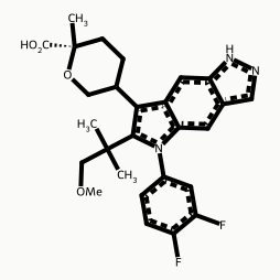 COCC(C)(C)c1c(C2CC[C@@](C)(C(=O)O)OC2)c2cc3[nH]ncc3cc2n1-c1ccc(F)c(F)c1